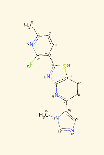 Cc1ccc(-c2nc3nc(-c4cncn4C)ccc3s2)c(F)n1